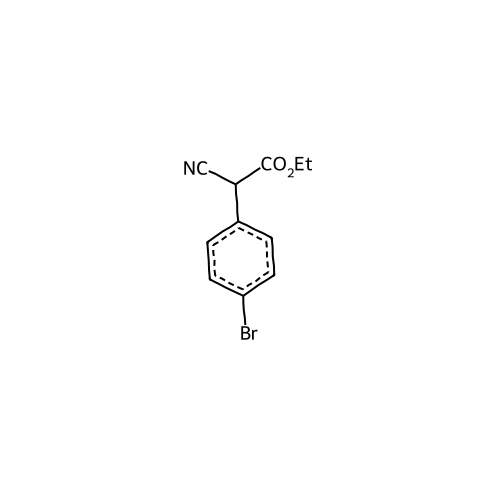 CCOC(=O)C(C#N)c1ccc(Br)cc1